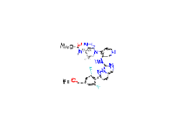 CCOCc1cc(F)c(-c2ccc3cnc(Nc4cnccc4N4C[C@@H](N)[C@@H](N(C)C(=O)OC)[C@@H](C)C4)n3n2)c(F)c1